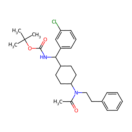 CC(=O)N(CCc1ccccc1)C1CCC(C(NC(=O)OC(C)(C)C)c2cccc(Cl)c2)CC1